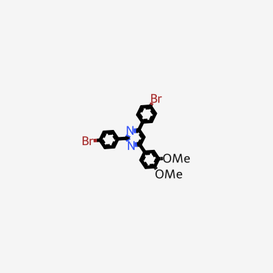 COc1ccc(-c2cc(-c3ccc(Br)cc3)nc(-c3ccc(Br)cc3)n2)cc1OC